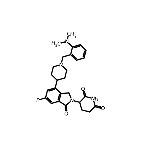 CN(C)c1ccccc1CN1CCC(c2cc(F)cc3c2CN(C2CCC(=O)NC2=O)C3=O)CC1